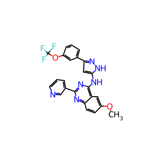 COc1ccc2nc(-c3cccnc3)nc(Nc3cc(-c4cccc(OC(F)(F)F)c4)n[nH]3)c2c1